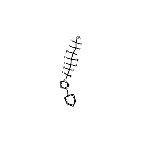 FC(F)(F)C(F)(F)C(F)(F)C(F)(F)C(F)(F)C(F)(F)C(F)(F)C(F)(F)n1cc[n+](-c2ccccc2)c1